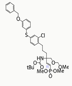 COCOCC(/C=C/P(=O)(OC)OC)(CCCc1ccc(Sc2cccc(OCc3ccccc3)c2)cc1Cl)NC(=O)OC(C)(C)C